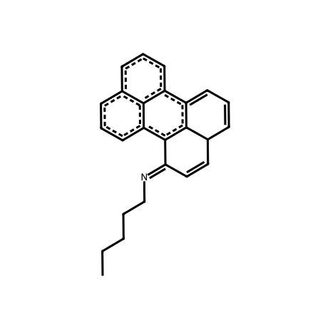 CCCCCN=C1C=CC2C=CC=c3c2c1c1cccc2cccc3c21